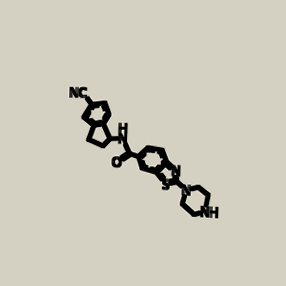 N#Cc1ccc2c(c1)CCC2NC(=O)c1ccc2nc(N3CCNCC3)sc2c1